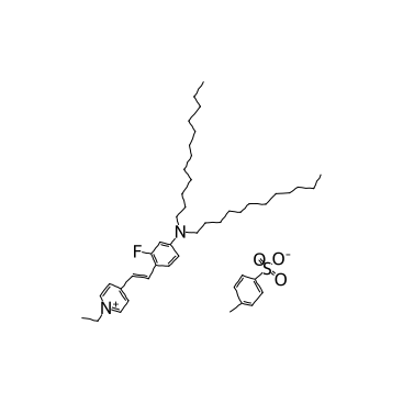 CCCCCCCCCCCCN(CCCCCCCCCCCC)c1ccc(C=Cc2cc[n+](CC)cc2)c(F)c1.Cc1ccc(S(=O)(=O)[O-])cc1